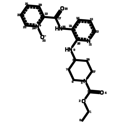 CCOC(=O)N1CCC(Nc2ncccc2NC(=O)c2cccc[n+]2[O-])CC1